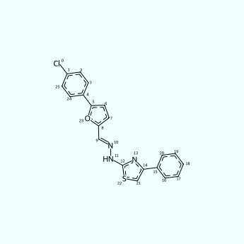 Clc1ccc(-c2ccc(/C=N/Nc3nc(-c4ccccc4)cs3)o2)cc1